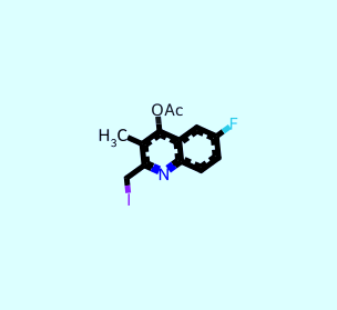 CC(=O)Oc1c(C)c(CI)nc2ccc(F)cc12